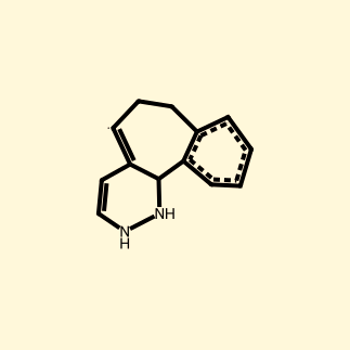 [C]1=C2C=CNNC2c2ccccc2CC1